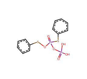 O=P(O)(O)OP(=O)(OSc1ccccc1)Sc1ccccc1